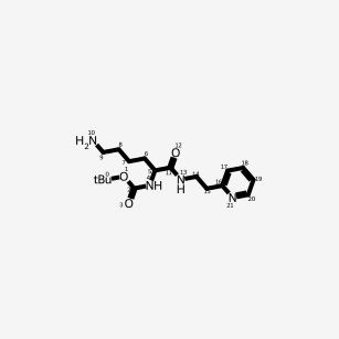 CC(C)(C)OC(=O)NC(CCCCN)C(=O)NCCc1ccccn1